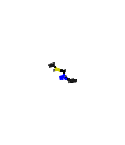 CC(C)(C)NCSC(C)(C)C